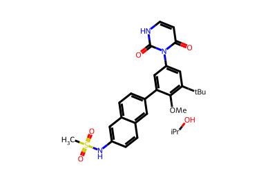 CC(C)O.COc1c(-c2ccc3cc(NS(C)(=O)=O)ccc3c2)cc(-n2c(=O)cc[nH]c2=O)cc1C(C)(C)C